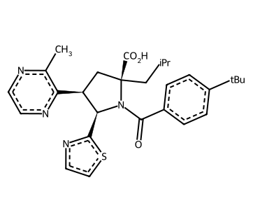 Cc1nccnc1[C@H]1C[C@@](CC(C)C)(C(=O)O)N(C(=O)c2ccc(C(C)(C)C)cc2)[C@H]1c1nccs1